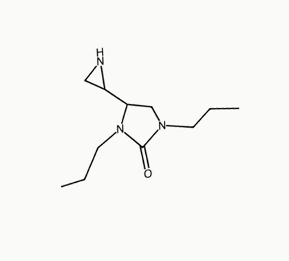 CCCN1CC(C2CN2)N(CCC)C1=O